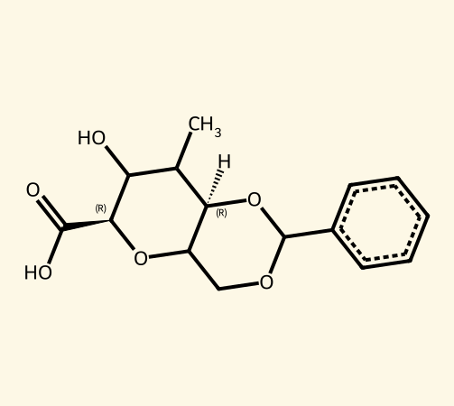 CC1C(O)[C@H](C(=O)O)OC2COC(c3ccccc3)O[C@@H]21